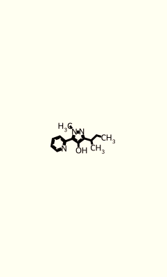 CCC(C)c1nn(C)c(-c2ccccn2)c1O